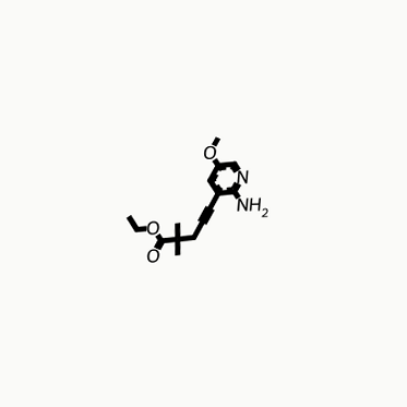 CCOC(=O)C(C)(C)CC#Cc1cc(OC)cnc1N